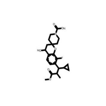 COC(=O)C(C)C(c1ccc2c(c1F)OC1(CCN(C(=O)O)CC1)CC2O)C1CC1